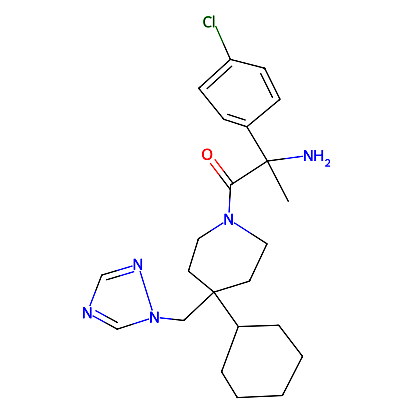 CC(N)(C(=O)N1CCC(Cn2cncn2)(C2CCCCC2)CC1)c1ccc(Cl)cc1